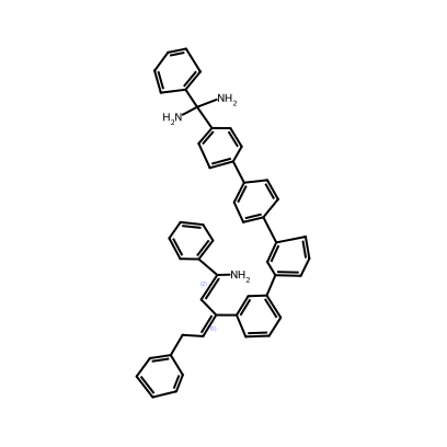 N/C(=C\C(=C/Cc1ccccc1)c1cccc(-c2cccc(-c3ccc(-c4ccc(C(N)(N)c5ccccc5)cc4)cc3)c2)c1)c1ccccc1